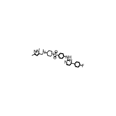 Cc1cc(CN(C)C2CCN(S(=O)(=O)c3ccc(Nc4nccc(-c5ccc(F)cc5)n4)cc3)CC2)n(C)n1